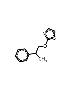 CC(COc1nccs1)c1ccccc1